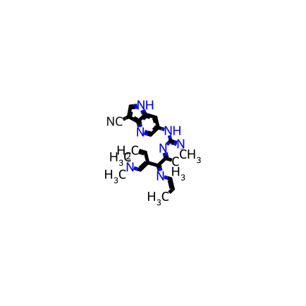 C=CC(=C\N(C)C)/C(=N/C=C\C)C(/C)=N/C(=N\C)Nc1cnc2c(C#N)c[nH]c2c1